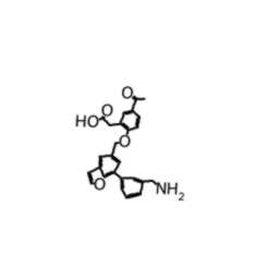 CC(=O)c1ccc(OCc2cc(-c3cccc(CN)c3)c3occc3c2)c(CC(=O)O)c1